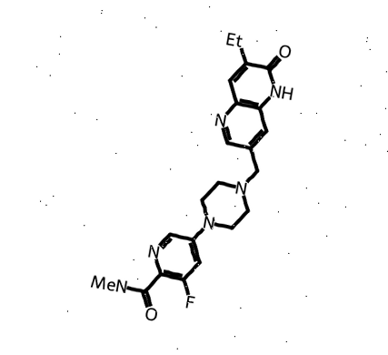 CCc1cc2ncc(CN3CCN(c4cnc(C(=O)NC)c(F)c4)CC3)cc2[nH]c1=O